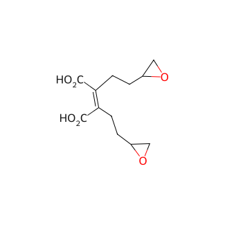 O=C(O)C(CCC1CO1)=C(CCC1CO1)C(=O)O